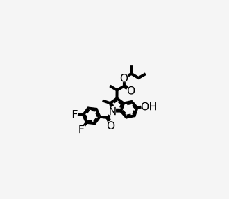 CCC(C)OC(=O)C(C)c1c(C)n(C(=O)c2ccc(F)c(F)c2)c2ccc(O)cc12